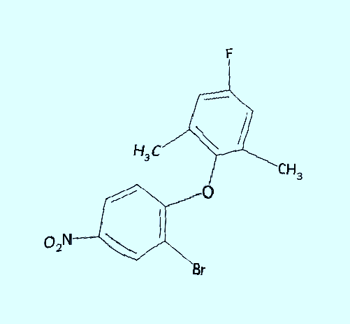 Cc1cc(F)cc(C)c1Oc1ccc([N+](=O)[O-])cc1Br